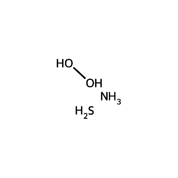 N.OO.S